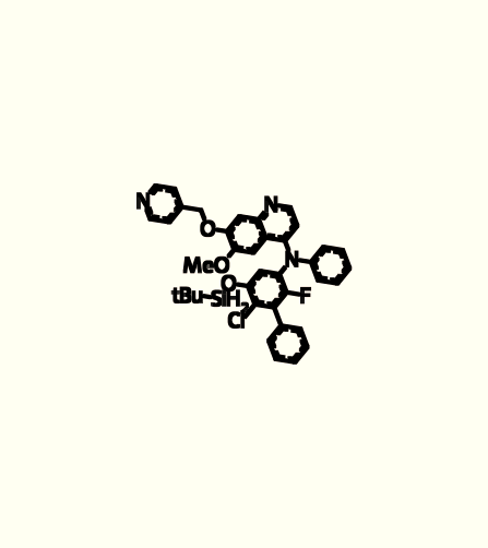 COc1cc2c(N(c3ccccc3)c3cc(O[SiH2]C(C)(C)C)c(Cl)c(-c4ccccc4)c3F)ccnc2cc1OCc1ccncc1